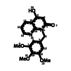 COc1cc(Cn2c(=O)cc(O)c3cccnc32)cc(OC)c1OC